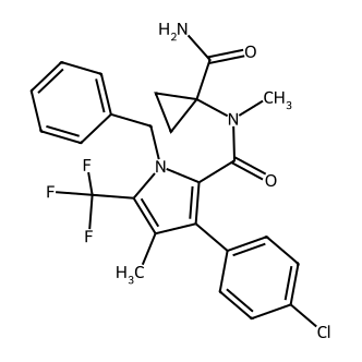 Cc1c(-c2ccc(Cl)cc2)c(C(=O)N(C)C2(C(N)=O)CC2)n(Cc2ccccc2)c1C(F)(F)F